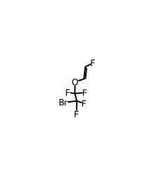 FC=COC(F)(F)C(F)(F)Br